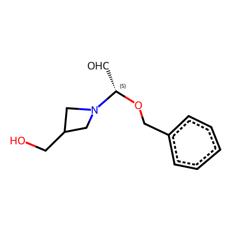 O=C[C@H](OCc1ccccc1)N1CC(CO)C1